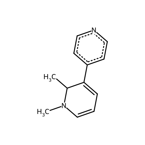 CC1C(c2ccncc2)=CC=CN1C